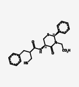 O=C(O)CN1C(=O)[C@@H](NC(=O)C(CS)Cc2ccccc2)CS[C@H]1c1ccccc1